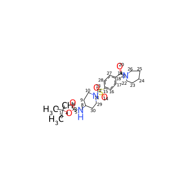 CC(C)(C)OC(=O)NC1CCN(S(=O)(=O)c2ccc(C(=O)N3CCCCC3)cc2)CC1